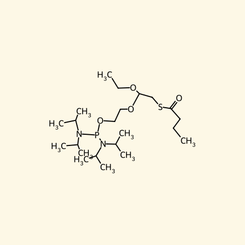 CCCC(=O)SCC(OCC)OCCOP(N(C(C)C)C(C)C)N(C(C)C)C(C)C